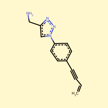 C=CC#Cc1ccc(-n2cc(CN)nn2)cc1